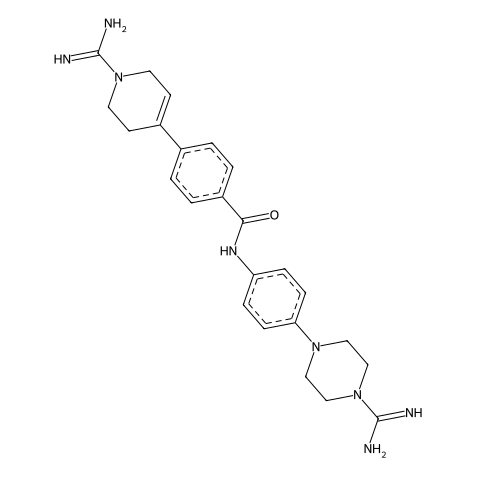 N=C(N)N1CC=C(c2ccc(C(=O)Nc3ccc(N4CCN(C(=N)N)CC4)cc3)cc2)CC1